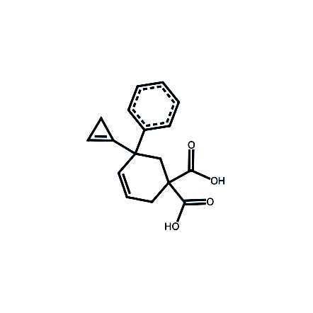 O=C(O)C1(C(=O)O)CC=CC(C2=CC2)(c2ccccc2)C1